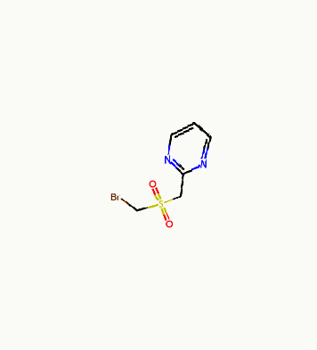 O=S(=O)(CBr)Cc1ncccn1